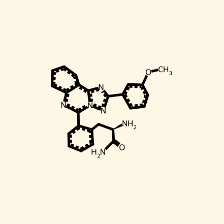 COc1cccc(-c2nc3c4ccccc4nc(-c4ccccc4C[C@@H](N)C(N)=O)n3n2)c1